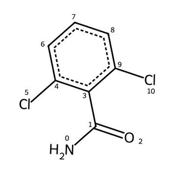 NC(=O)c1c(Cl)cccc1Cl